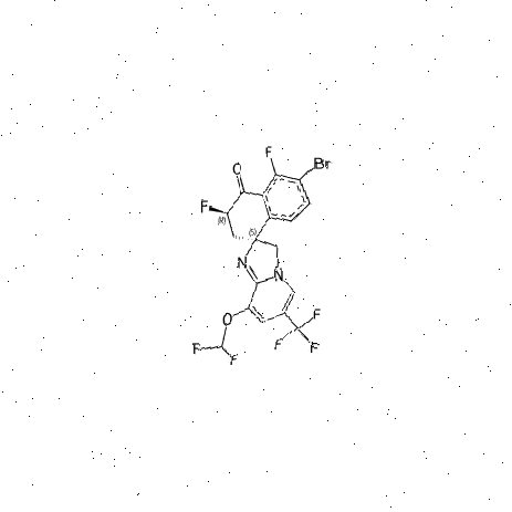 O=C1c2c(ccc(Br)c2F)[C@@]2(C[C@H]1F)CN1C=C(C(F)(F)F)C=C(OC(F)F)C1=N2